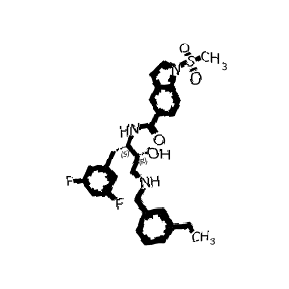 CCc1cccc(CNC[C@@H](O)[C@H](Cc2cc(F)cc(F)c2)NC(=O)c2ccc3c(ccn3S(C)(=O)=O)c2)c1